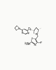 CC(=O)Nc1nc(F)c(CN2C[C@H](Oc3cc(N4CCC4)ncn3)C[C@@H]2C)s1